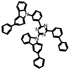 c1ccc(-c2cccc(-c3nc(-c4cccc(-n5c6ccccc6c6cc(-c7ccccc7)ccc65)c4)nc(-n4c5ccccc5c5cc(-c6ccccc6)ccc54)n3)c2)cc1